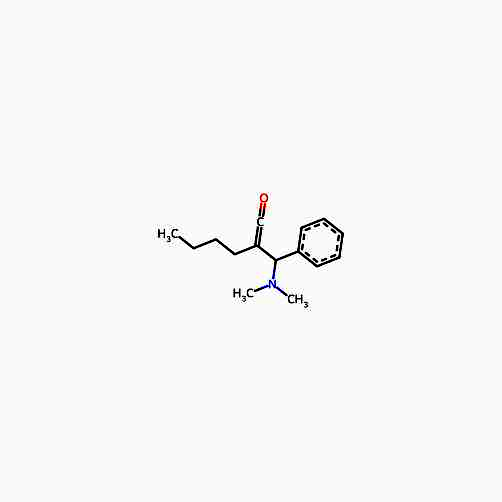 CCCCC(=C=O)C(c1ccccc1)N(C)C